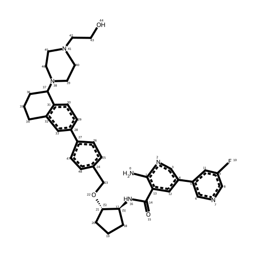 Nc1ncc(-c2cncc(F)c2)cc1C(=O)N[C@H]1CCC[C@@H]1OCc1ccc(-c2ccc3c(c2)CCCC3N2CCN(CCO)CC2)cc1